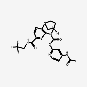 CC(=O)Nc1ccnc(OC(=O)N2c3nc(C(=O)NCC(F)(F)F)ccc3N3CC[C@H]2C3)c1